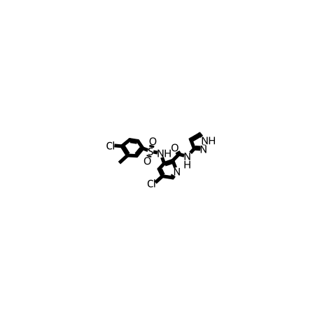 Cc1cc(S(=O)(=O)Nc2cc(Cl)cnc2C(=O)Nc2cc[nH]n2)ccc1Cl